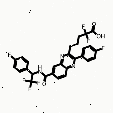 O=C(NC(c1ccc(F)cc1)C(F)(F)F)c1ccc2nc(-c3ccc(F)cc3)c(CCCC(F)(F)C(=O)O)nc2c1